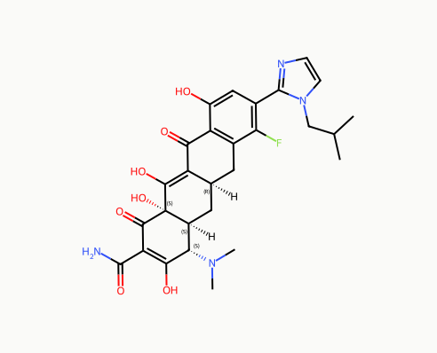 CC(C)Cn1ccnc1-c1cc(O)c2c(c1F)C[C@H]1C[C@H]3[C@H](N(C)C)C(O)=C(C(N)=O)C(=O)[C@@]3(O)C(O)=C1C2=O